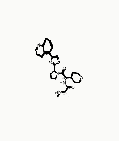 CN[C@@H](C)C(=O)N[C@H](C(=O)N1CCCC1c1nc(-c2cccc3ncccc23)cs1)C1CCOCC1